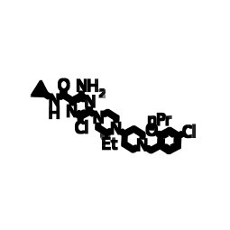 CCCOc1cc(Cl)ccc1CN1CCC(N2CCN(c3nc(N)c(C(=O)NC4CC4)nc3Cl)C[C@@H]2CC)CC1